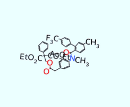 CCOC(=O)C(COC(=O)Cc1ccc(N(C)C(=O)c2ccc(C)cc2-c2ccc(C(F)(F)F)cc2)c(OC(C)=O)c1)(C(=O)OCC)c1ccccc1